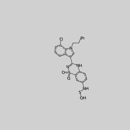 CC(C)CCn1cc(C2=NS(=O)(=O)c3cc(NSO)ccc3N2)c2cccc(Cl)c21